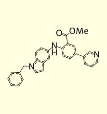 COC(=O)c1cc(-c2cccnc2)ccc1Nc1ccc2c(ccn2Cc2ccccc2)c1